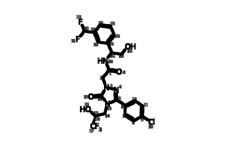 O=C(Cn1nc(-c2ccc(Cl)cc2)n(C[C@H](O)C(F)(F)F)c1=O)NC(CO)c1cccc(C(F)F)c1